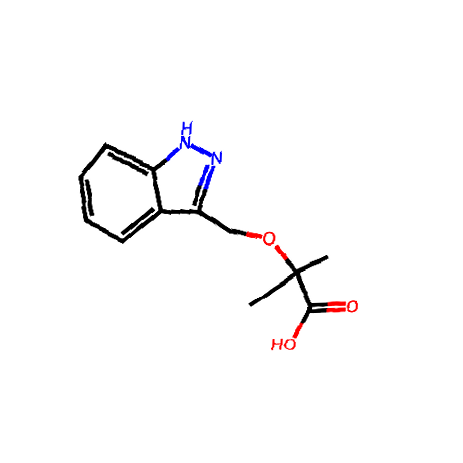 CC(C)(OCc1n[nH]c2ccccc12)C(=O)O